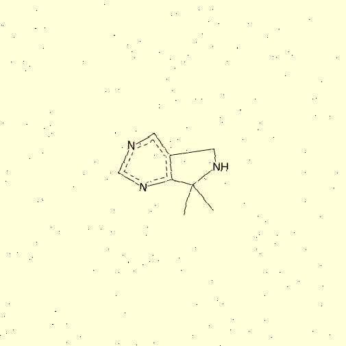 CC1(C)NCc2cncnc21